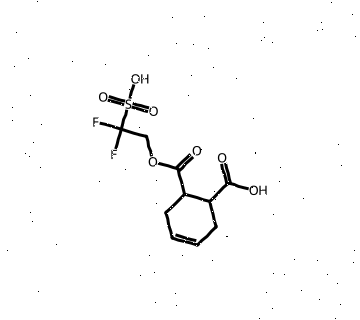 O=C(O)C1CC=CCC1C(=O)OCC(F)(F)S(=O)(=O)O